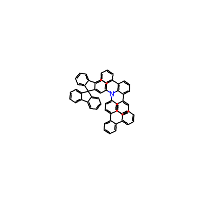 c1ccc(-c2cccc(-c3ccccc3)c2N(c2ccc3c(c2)C2(c4ccccc4-c4ccccc42)c2ccccc2-3)c2ccc3c4ccccc4c4ccccc4c3c2)cc1